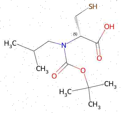 CC(C)CN(C(=O)OC(C)(C)C)[C@H](CS)C(=O)O